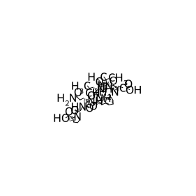 CC(C)C[C@H](NC(=O)[C@@H](NC(=O)[C@@H](N)CCC(=O)O)C(C)C)C(=O)N[C@@H](Cc1ccccc1)C(=O)N[C@@H](CCC(N)=O)C(=O)NCC(=O)N1CCC[C@H]1C(=O)O